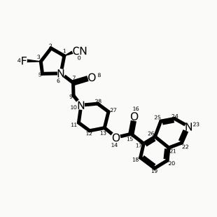 N#C[C@@H]1C[C@H](F)CN1C(=O)CN1CCC(OC(=O)c2cccc3cnccc23)CC1